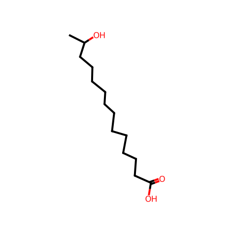 CC(O)CCCCCCCCCCCC(=O)O